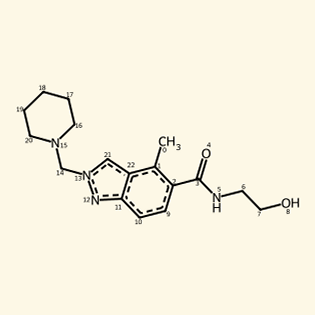 Cc1c(C(=O)NCCO)ccc2nn(CN3CCCCC3)cc12